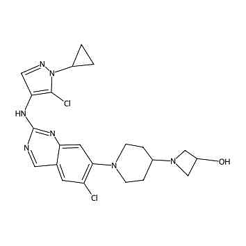 OC1CN(C2CCN(c3cc4nc(Nc5cnn(C6CC6)c5Cl)ncc4cc3Cl)CC2)C1